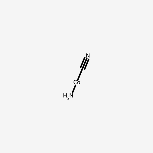 N#[C][Co][NH2]